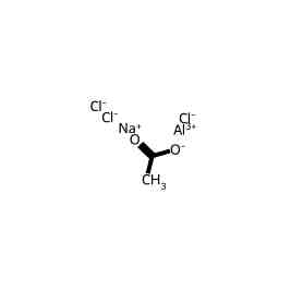 CC(=O)[O-].[Al+3].[Cl-].[Cl-].[Cl-].[Na+]